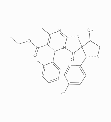 CCOC(=O)C1=C(C)N=C2SC3(C(=O)N2C1c1ccccc1C)C(O)CSC3c1ccc(Cl)cc1